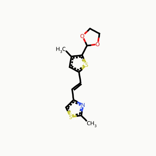 Cc1nc(C=Cc2cc(C)c(C3OCCO3)s2)cs1